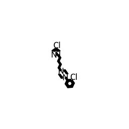 Clc1cnn(CCCCN2CCN(c3ccccc3Cl)CC2)c1